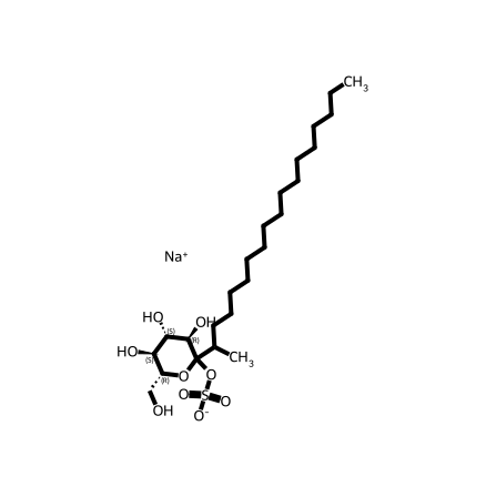 CCCCCCCCCCCCCCCCC(C)C1(OS(=O)(=O)[O-])O[C@H](CO)[C@@H](O)[C@H](O)[C@H]1O.[Na+]